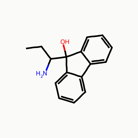 CCC(N)C1(O)c2ccccc2-c2ccccc21